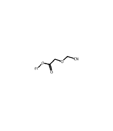 C[CH]OC(=O)COCC#N